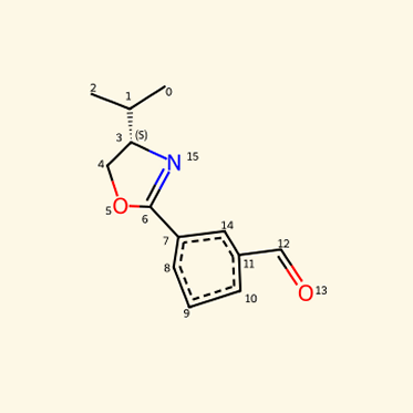 CC(C)[C@H]1COC(c2cccc(C=O)c2)=N1